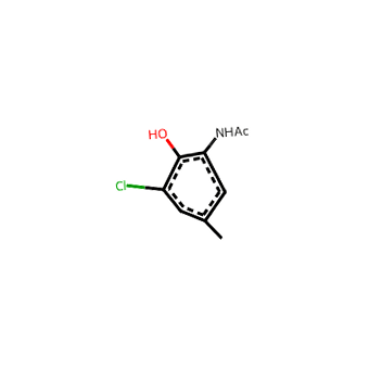 CC(=O)Nc1cc(C)cc(Cl)c1O